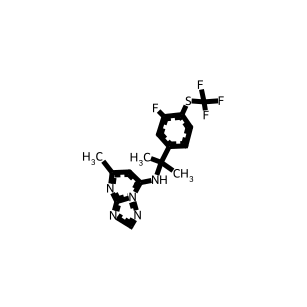 Cc1cc(NC(C)(C)c2ccc(SC(F)(F)F)c(F)c2)n2ncnc2n1